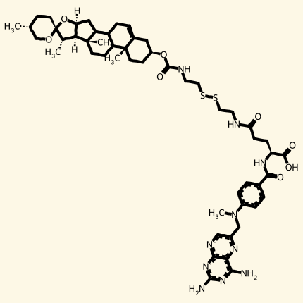 C[C@@H]1CC[C@@]2(OC1)O[C@H]1CC3C4CC=C5C[C@@H](OC(=O)NCCSSCCNC(=O)CC[C@H](NC(=O)c6ccc(N(C)Cc7cnc8nc(N)nc(N)c8n7)cc6)C(=O)O)CC[C@]5(C)C4CC[C@]3(C)[C@H]1[C@@H]2C